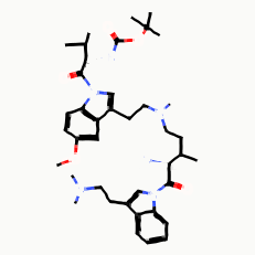 COc1ccc2c(c1)c(CCN(C)CCC(C)[C@H](N)C(=O)n1cc(CCN(C)C)c3ccccc31)cn2C(=O)[C@@H](NC(=O)OC(C)(C)C)C(C)C